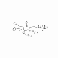 CCCCOc1c(C(=O)O)n(CCC(=O)OCC)c(=O)c2cc(Cl)c(Cl)c(I)c12